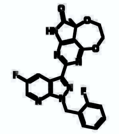 CC12OCCOc3nc(-c4nn(Cc5ccccc5F)c5ncc(F)cc45)nc(c31)NC2=O